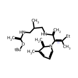 C=C(NCC(C)CNC(=C)/C(=C(/C)CC)N1C=CC=C(C)C1=C)OC(C)(C)C